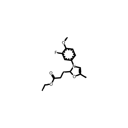 CCOC(=O)CCC1OC(C)=CN1c1ccc(OC)c(F)c1